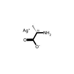 C[C@H](N)C(=O)[O-].[Ag+]